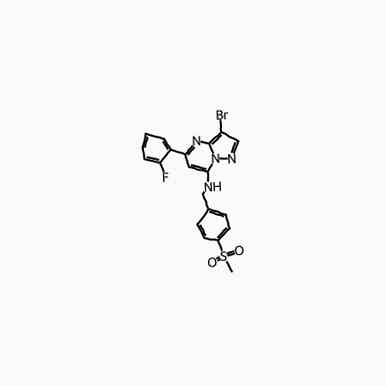 CS(=O)(=O)c1ccc(CNc2cc(-c3ccccc3F)nc3c(Br)cnn23)cc1